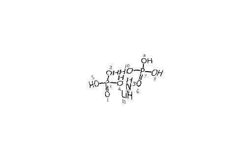 N.O=P(O)(O)O.O=P(O)(O)O.[LiH]